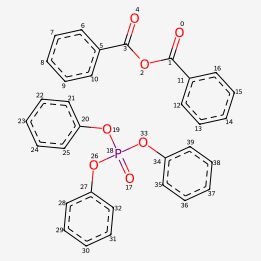 O=C(OC(=O)c1ccccc1)c1ccccc1.O=P(Oc1ccccc1)(Oc1ccccc1)Oc1ccccc1